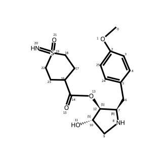 COc1ccc(C[C@H]2NC[C@H](O)[C@H]2OC(=O)C2CCS(=N)(=O)CC2)cc1